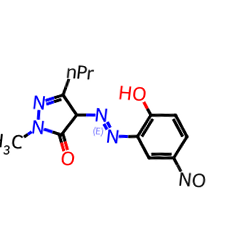 CCCC1=NN(C)C(=O)C1/N=N/c1cc(N=O)ccc1O